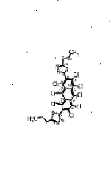 CCCc1nnc(-c2c(Cl)c(Cl)c3c(Cl)c4c(Cl)c(Cl)c(-c5nnc(CCC)s5)c(Cl)c4c(Cl)c3c2Cl)s1